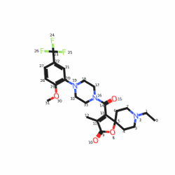 CCN1CCC2(CC1)OC(=O)C(C)=C2C(=O)N1CCN(c2cc(C(F)(F)F)ccc2OC)CC1